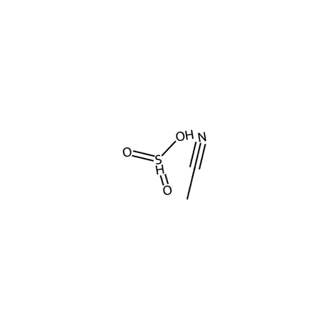 CC#N.O=[SH](=O)O